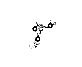 CN(CCc1ccc(Cl)c(Cl)c1)CC(O)COc1ccc(NS(C)(=O)=O)cc1.O=C(O)c1ccccc1